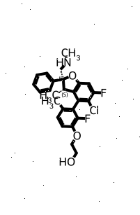 CNC[C@]1(c2ccccc2)Oc2cc(F)c(Cl)c(-c3c(C)ccc(OCCO)c3F)c2[C@@H]1C